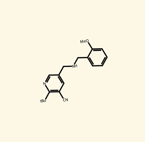 COc1ccccc1CNCc1cnc(C(C)(C)C)c(C#N)c1